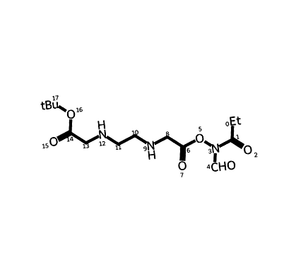 CCC(=O)N(C=O)OC(=O)CNCCNCC(=O)OC(C)(C)C